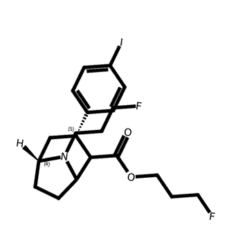 O=C(OCCCF)C1C2CC[C@H](C[C@@H]1c1ccc(I)cc1)N2CCCF